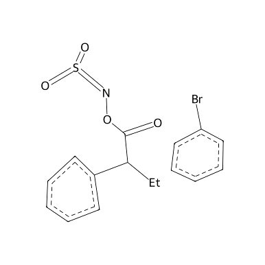 Brc1ccccc1.CCC(C(=O)ON=S(=O)=O)c1ccccc1